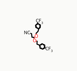 N#CCCC(OCCc1ccc(C(F)(F)F)cc1)OCCc1ccc(C(F)(F)F)cc1